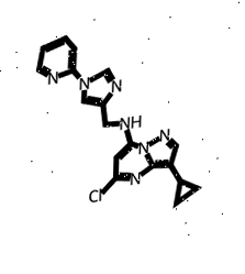 Clc1cc(NCc2cn(-c3ccccn3)cn2)n2ncc(C3CC3)c2n1